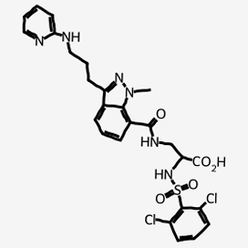 Cn1nc(CCCNc2ccccn2)c2cccc(C(=O)NCC(NS(=O)(=O)c3c(Cl)cccc3Cl)C(=O)O)c21